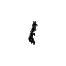 C=C/C(C)=C(\C)OC(C)(C)CC/C=C(\C)CC/C=C(\C)CCC=C(C)C